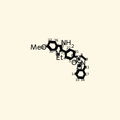 CCn1c(-c2ccc(N3CCN(CC4C=CC=CC4)S3(=O)=O)cc2)c(N)c2ccc(OC)cc21